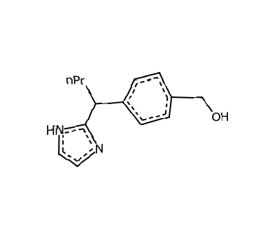 CCCC(c1ccc(CO)cc1)c1ncc[nH]1